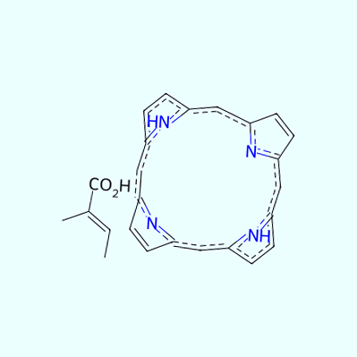 C1=Cc2cc3ccc(cc4nc(cc5ccc(cc1n2)[nH]5)C=C4)[nH]3.CC=C(C)C(=O)O